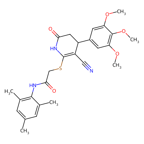 COc1cc(C2CC(=O)NC(SCC(=O)Nc3c(C)cc(C)cc3C)=C2C#N)cc(OC)c1OC